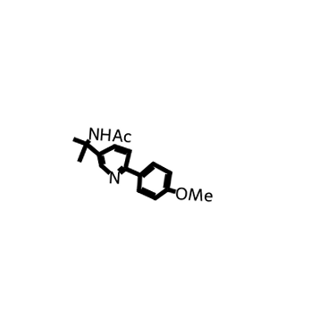 COc1ccc(-c2ccc(C(C)(C)NC(C)=O)cn2)cc1